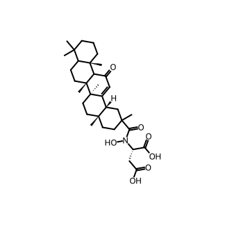 CC1(C(=O)N(O)[C@@H](CC(=O)O)C(=O)O)CC[C@]2(C)CC[C@]3(C)C(=CC(=O)C4[C@@]5(C)CCCC(C)(C)C5CC[C@]43C)[C@@H]2C1